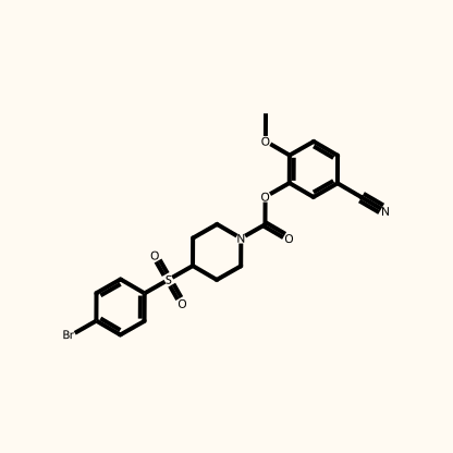 COc1ccc(C#N)cc1OC(=O)N1CCC(S(=O)(=O)c2ccc(Br)cc2)CC1